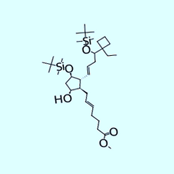 CCC1(C(CC=C[C@@H]2[C@@H](CC=CCCCC(=O)OC)[C@@H](O)C[C@H]2O[Si](C)(C)C(C)(C)C)O[Si](C)(C)C(C)(C)C)CCC1